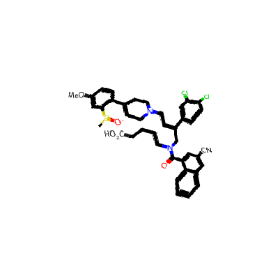 COc1ccc(C2CCN(CCC(CN(CCCCC(=O)O)C(=O)c3cc(C#N)cc4ccccc34)c3ccc(Cl)c(Cl)c3)CC2)c([S@+](C)[O-])c1